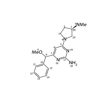 CN[C@@H]1CCN(c2cc(C(OC)c3ccccc3)nc(N)n2)C1